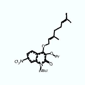 CCCCn1c(=O)c(OC(C)C)c(OC/C=C(\C)CCC=C(C)C)c2ccc([N+](=O)[O-])cc21